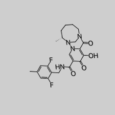 Cc1cc(F)c(CNC(=O)c2cn3c(c(O)c2=O)C(=O)N2CCCC[C@@H](C)N3C2)c(F)c1